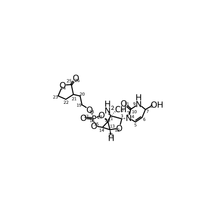 C[C@]1(N)[C@H](N2C=CC(O)NC2=O)O[C@@H]2C3O[P@](=O)(OCCC4CCOC4=O)O[C@]321